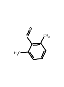 Cc1cccc(C)c1I=O